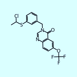 CC(Cl)Sc1cccc(Cn2cnc3ccc(OC(F)(F)F)cc3c2=O)c1